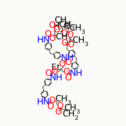 C=C(C)C(=O)OCC(C)OC(=O)Cc1ccc(Cc2ccc(NC(=O)OCC(CC)(COC(=O)Nc3ccc(Cc4ccc(NC(=O)OC(C)COC(=O)C(=C)C)cc4)cc3)COC(=O)Nc3ccc(Cc4ccc(NC(=O)OC(C)COC(=O)C(=C)C)cc4)cc3)cc2)cc1